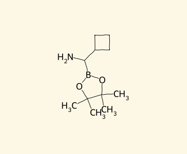 CC1(C)OB(C(N)C2CCC2)OC1(C)C